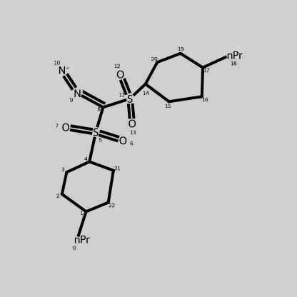 CCCC1CCC(S(=O)(=O)C(=[N+]=[N-])S(=O)(=O)C2CCC(CCC)CC2)CC1